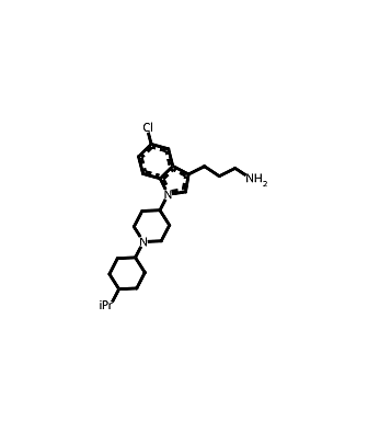 CC(C)C1CCC(N2CCC(n3cc(CCCN)c4cc(Cl)ccc43)CC2)CC1